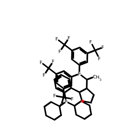 CC(C1CCCC1c1ccccc1P(C1CCCCC1)C1CCCCC1)P(c1cc(C(F)(F)F)cc(C(F)(F)F)c1)c1cc(C(F)(F)F)cc(C(F)(F)F)c1